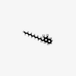 CCCCCCCCCCCCc1cc2ccccc2c(C)c1C